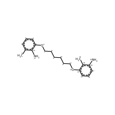 Cc1cccc(OCCCCCCOc2cccc(N)c2C)c1N